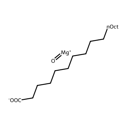 CCCCCCCCCCCCCCCCCC(=O)[O-].[O]=[Mg+]